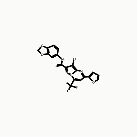 O=C(Nc1ccc2c(c1)OCO2)c1nn2c(C(F)(F)F)cc(-c3ccco3)nc2c1Cl